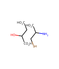 NC(CS)C(=O)O.O=C(O)CC(O)C(=O)O